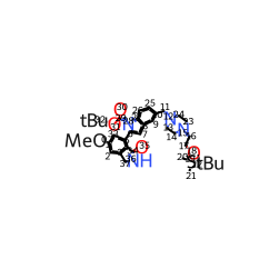 COc1cc2c(c(-c3cc4cc(CN5CCN(CCO[Si](C)(C)C(C)(C)C)CC5)ccc4n3C(=O)OC(C)(C)C)c1)C(=O)NC2